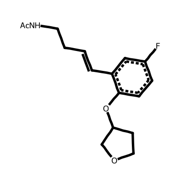 CC(=O)NCCC=Cc1cc(F)ccc1OC1CCOC1